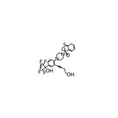 O=S(=O)(C1=CC=CCC1=S)N1CCN(c2ccc(C(O)(C(F)(F)F)C(F)(F)F)cc2C#CCCO)CC1